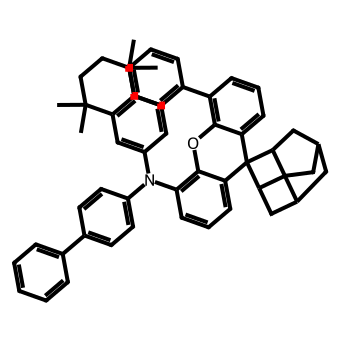 CC1(C)CCC(C)(C)c2cc(N(c3ccc(-c4ccccc4)cc3)c3cccc4c3Oc3c(-c5ccccc5)cccc3C43C4CC5CC6CC3C64C5)ccc21